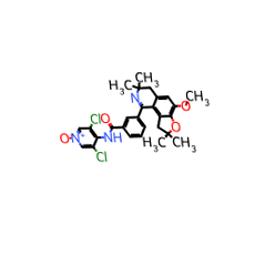 COc1cc2c(c3c1OC(C)(C)C3)C(c1cccc(C(=O)Nc3c(Cl)c[n+]([O-])cc3Cl)c1)=NC(C)(C)C2